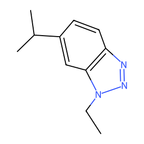 CCn1nnc2ccc(C(C)C)cc21